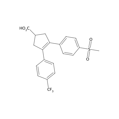 CS(=O)(=O)c1ccc(C2=C(c3ccc(C(F)(F)F)cc3)CC(C(=O)O)C2)cc1